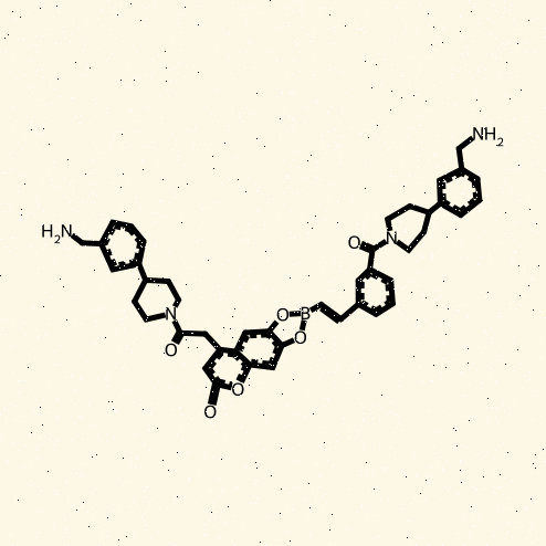 NCc1cccc(C2CCN(C(=O)Cc3cc(=O)oc4cc5c(cc34)OB(/C=C/c3cccc(C(=O)N4CCC(c6cccc(CN)c6)CC4)c3)O5)CC2)c1